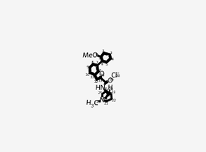 COc1ccccc1-c1cccc2cc(C(=O)N[C@H]3C[N+]4(C)CCC3CC4)oc12.[Cl-]